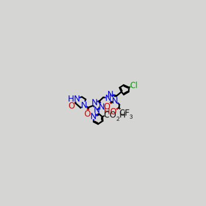 O=C1CN(C(=O)c2nc(Cn3nc(-c4ccc(Cl)cc4)n(CC(O)C(F)(F)F)c3=O)nn2-c2ncccc2C(=O)O)CCN1